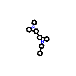 C1=CCC(c2ccc(N3C4=CCCC=C4C4C=C(C5C=C6C(=CC5)N(c5ccccc5)C5CCC=CC65)CCC43)cc2)C=C1